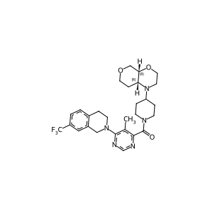 Cc1c(C(=O)N2CCC(N3CCO[C@H]4COCC[C@H]43)CC2)ncnc1N1CCc2ccc(C(F)(F)F)cc2C1